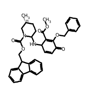 COC(=O)C1=C(OCc2ccccc2)C(=O)C=CC1NC1CC[C@@H](C)CN1C(=O)OCC1c2ccccc2-c2ccccc21